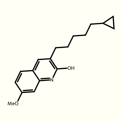 COc1ccc2cc(CCCCCC3CC3)c(O)nc2c1